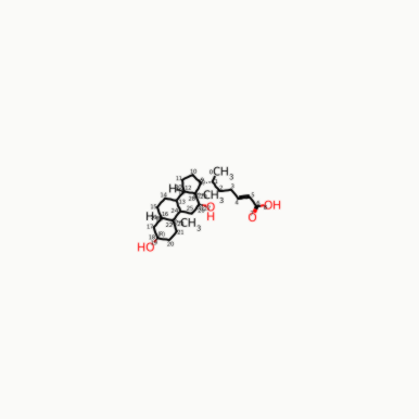 CC(CCC=CC(=O)O)[C@H]1CC[C@H]2C3CC[C@@H]4C[C@H](O)CC[C@]4(C)C3C[C@H](O)[C@]12C